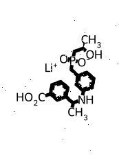 CC(Nc1cccc(CP(=O)([O-])C[C@H](C)O)c1)c1cccc(C(=O)O)c1.[Li+]